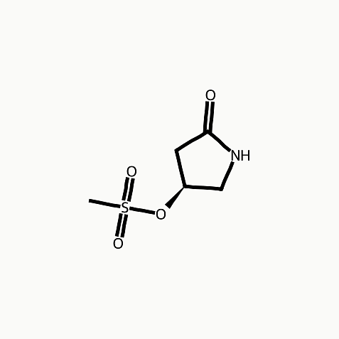 CS(=O)(=O)O[C@@H]1CNC(=O)C1